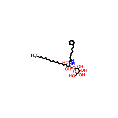 CCCCCCCCCCCCCC[C@@H](O)[C@@H](O)[C@H](CO[C@H]1OC(CO)[C@H](O)[C@H](O)[C@H]1O)n1cc(CCCCCCc2ccccc2)nn1